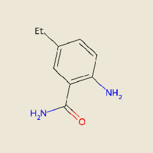 CCc1ccc(N)c(C(N)=O)c1